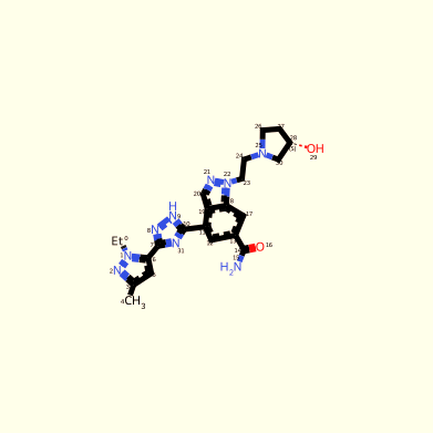 CCn1nc(C)cc1-c1n[nH]c(-c2cc(C(N)=O)cc3c2cnn3CCN2CC[C@H](O)C2)n1